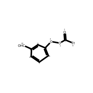 CCC(=O)OOc1cccc(C=O)c1